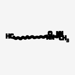 C#CCCCCCCCCCCCCCCCC(=O)NCCC1(C)N=N1